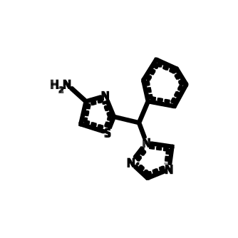 Nc1csc(C(c2ccccc2)n2cncn2)n1